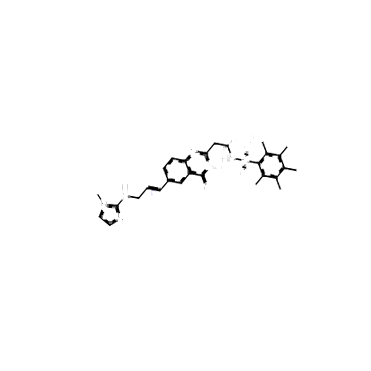 Cc1c(C)c(C)c(S(=O)(=O)N[C@@H](Cc2nc3ccc(/C=C/CNc4nccn4C)cc3c(=O)[nH]2)C(=O)O)c(C)c1C